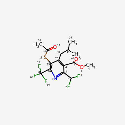 COC(=O)c1c(C(F)F)nc(C(F)(F)F)c(SC(C)=O)c1CC(C)C